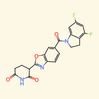 O=C1CCC(c2nc3ccc(C(=O)N4CCc5c(F)cc(F)cc54)cc3o2)C(=O)N1